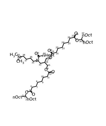 CCCCCCCCC(CCCCCCCC)OC(=O)CCCCCCC(=O)OCC(COC(=O)CCCCCCC(=O)OC(CCCCCCCC)CCCCCCCC)CN(CCCCN(C)C)C(=O)CCCCCCC